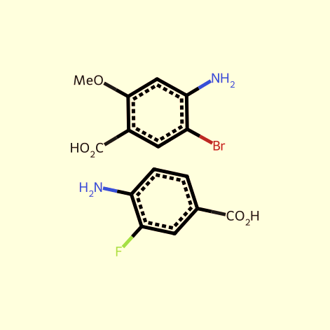 COc1cc(N)c(Br)cc1C(=O)O.Nc1ccc(C(=O)O)cc1F